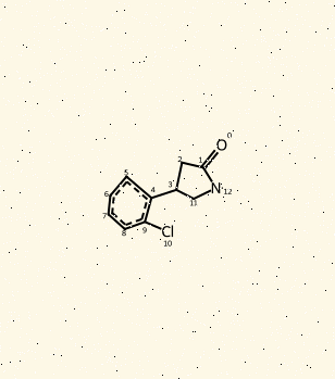 O=C1CC(c2ccccc2Cl)C[N]1